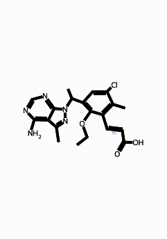 CCOc1c(C(C)n2nc(C)c3c(N)ncnc32)cc(Cl)c(C)c1/C=C/C(=O)O